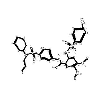 C=CCN(C1CCCCC1)S(=O)(=O)c1ccc(NC(=O)c2cc(OC)c(OC)cc2NS(=O)(=O)c2ccc(Cl)cc2)cc1